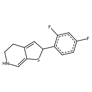 Fc1ccc(C2C=C3CCNC=C3S2)c(F)c1